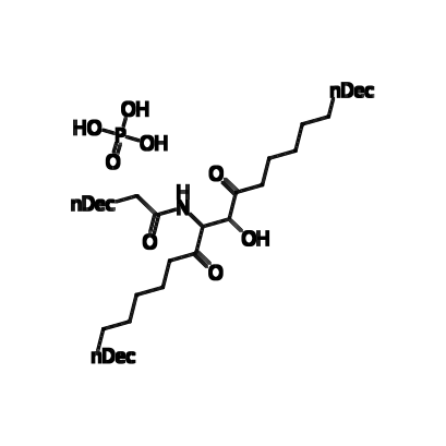 CCCCCCCCCCCCCCCC(=O)C(O)C(NC(=O)CCCCCCCCCCC)C(=O)CCCCCCCCCCCCCCC.O=P(O)(O)O